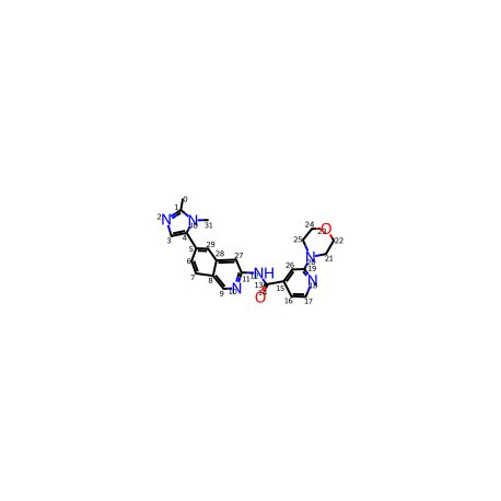 Cc1ncc(-c2ccc3cnc(NC(=O)c4ccnc(N5CCOCC5)c4)cc3c2)n1C